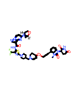 Cn1c(=O)n(C2CCC(=O)NC2=O)c2cccc(C#CCOC3CCN(CC4CCN(c5nc(C(F)F)c(NC(=O)c6cnn7ccc(N8C[C@H]9C[C@@H]8CO9)nc67)s5)CC4)CC3)c21